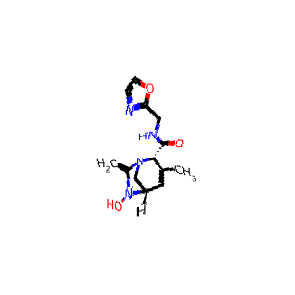 C=C1N(O)[C@H]2C=C(C)[C@@H](C(=O)NCc3ncco3)N1C2